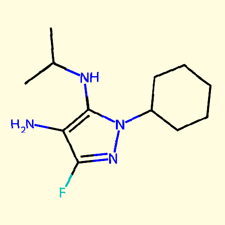 CC(C)Nc1c(N)c(F)nn1C1CCCCC1